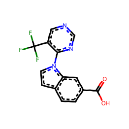 O=C(O)c1ccc2ccn(-c3ncncc3C(F)(F)F)c2c1